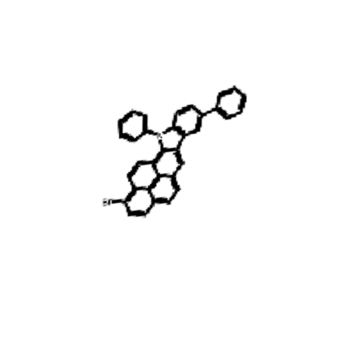 Brc1ccc2ccc3cc4c5cc(-c6ccccc6)ccc5n(-c5ccccc5)c4c4ccc1c2c34